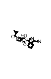 N#Cc1ncc(N2C(=O)[C@H]3C4CC(CN4C(=O)C4CC4)N3C2=O)c2ccccc12